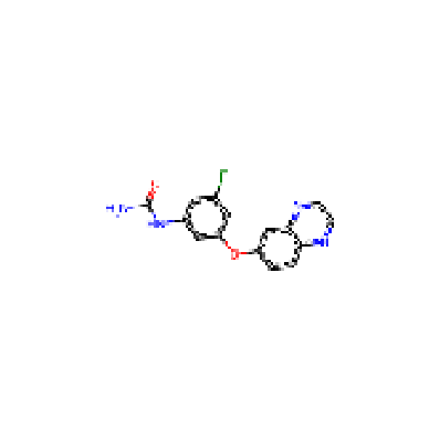 NC(=O)Nc1cc(F)cc(Oc2ccc3nccnc3c2)c1